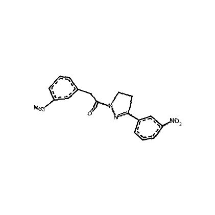 COc1cccc(CC(=O)N2CCC(c3cccc([N+](=O)[O-])c3)=N2)c1